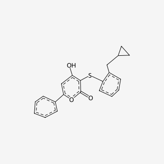 O=c1oc(-c2ccccc2)cc(O)c1Sc1ccccc1CC1CC1